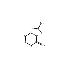 C[S+](C)[O-].O=C1CCCCC1